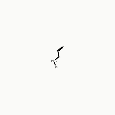 [CH]=CCNCC